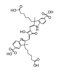 CC1(CCCCCC(=O)O)C(C=C2C(=O)C(C=C3Nc4ccc(S(=O)(=O)O)cc4C3(C)CCCCCC(=O)O)=C2O)=Nc2ccc(S(=O)(=O)O)cc21